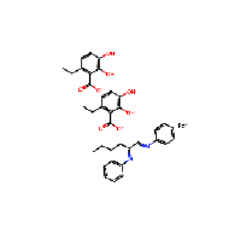 CCCCC(C=Nc1ccccc1)=Nc1ccccc1.CCc1ccc(O)c(O)c1C(=O)[O-].CCc1ccc(O)c(O)c1C(=O)[O-].[Pd+2]